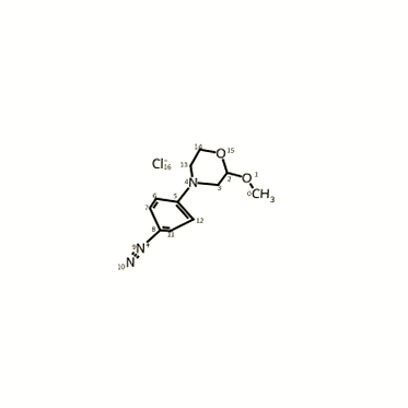 COC1CN(c2ccc([N+]#N)cc2)CCO1.[Cl-]